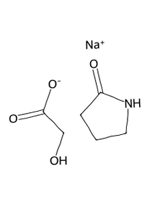 O=C([O-])CO.O=C1CCCN1.[Na+]